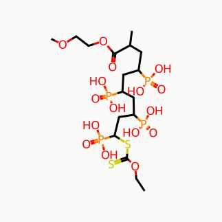 CCOC(=S)SC(CC(CC(CC(CC(C)C(=O)OCCOC)P(=O)(O)O)P(=O)(O)O)P(=O)(O)O)P(=O)(O)O